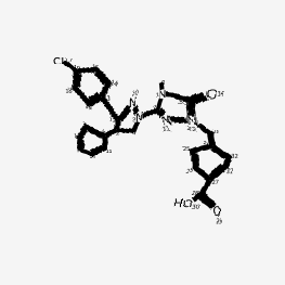 Cn1c(N2CC(c3ccccc3)C(c3ccc(Cl)cc3)=N2)nn(Cc2ccc(C(=O)O)cc2)c1=O